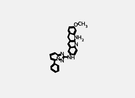 COc1ccc(Cc2cc3cc(Nc4nc5cccc(-c6ccccc6)n5n4)ccc3nc2N)cc1